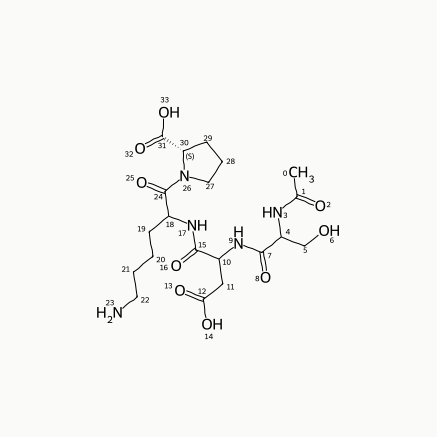 CC(=O)NC(CO)C(=O)NC(CC(=O)O)C(=O)NC(CCCCN)C(=O)N1CCC[C@H]1C(=O)O